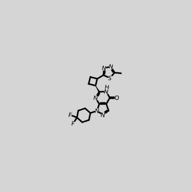 Cc1nnc(C2CC[C@@H]2c2nc3c(cnn3C3CCC(F)(F)CC3)c(=O)[nH]2)s1